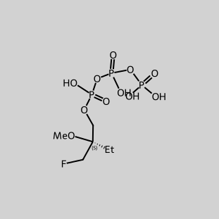 CC[C@@](CF)(COP(=O)(O)OP(=O)(O)OP(=O)(O)O)OC